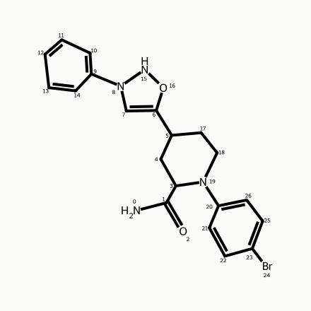 NC(=O)C1CC(C2=CN(c3ccccc3)NO2)CCN1c1ccc(Br)cc1